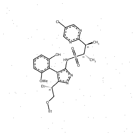 CCOC[C@H](CC)c1nnc(NS(=O)(=O)[C@@H](C)[C@H](C)c2ncc(Cl)cn2)n1-c1c(O)cccc1OC